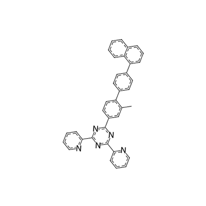 Cc1cc(-c2nc(-c3ccccn3)nc(-c3ccccn3)n2)ccc1-c1ccc(-c2cccc3ccccc23)cc1